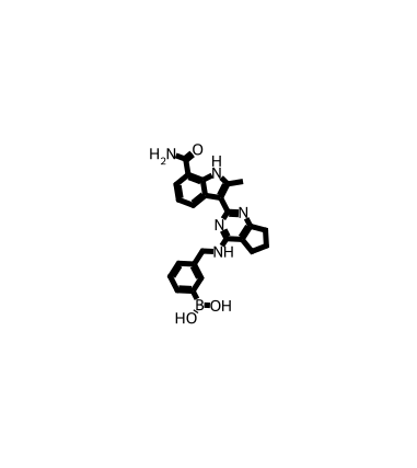 Cc1[nH]c2c(C(N)=O)cccc2c1-c1nc2c(c(NCc3cccc(B(O)O)c3)n1)CCC2